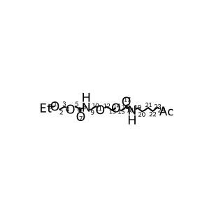 CCOCCOCC(=O)NCCOCCOCC(=O)NCCCCCC(C)=O